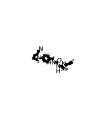 C#Cc1nc(NC(=O)NCc2ccc(N3CCCC3C#N)cc2)cs1